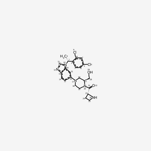 C[C@H](c1ccc(Cl)cc1Cl)n1nnc2ccc(N3CCN(C(=O)[C@H]4CCN4)[C@H](CO)C3)cc21